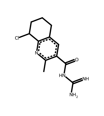 Cc1nc2c(cc1C(=O)NC(=N)N)CCCC2Cl